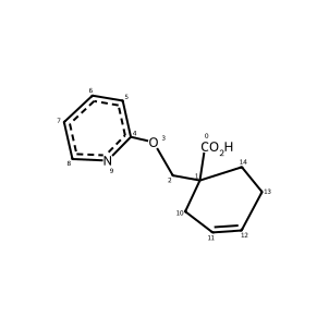 O=C(O)C1(COc2ccccn2)CC=CCC1